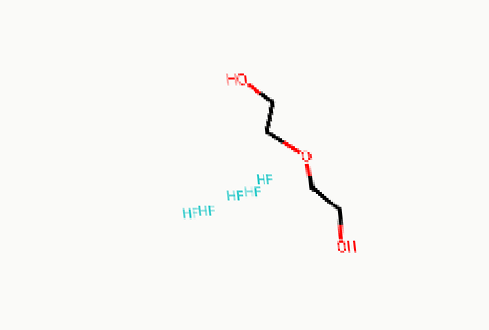 F.F.F.F.F.OCCOCCO